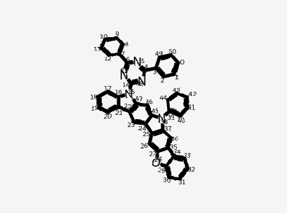 c1ccc(-c2nc(-c3ccccc3)nc(-n3c4ccccc4c4cc5c6cc7oc8ccccc8c7cc6n(-c6ccccc6)c5cc43)n2)cc1